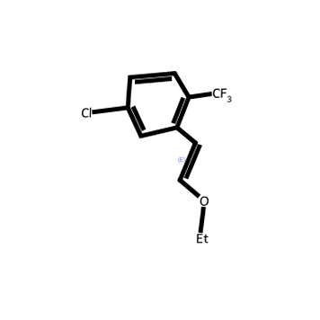 CCO/C=C/c1cc(Cl)ccc1C(F)(F)F